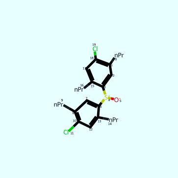 CCCc1cc([S+]([O-])c2cc(CCC)c(Cl)cc2CCC)c(CCC)cc1Cl